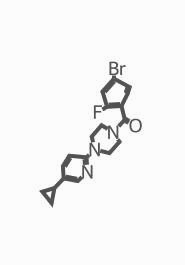 O=C(c1ccc(Br)cc1F)N1CCN(c2ccc(C3CC3)cn2)CC1